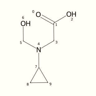 O=C(O)CN(CO)C1CC1